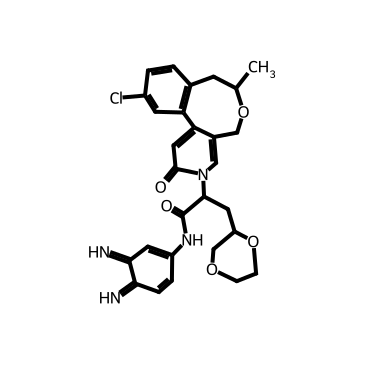 CC1Cc2ccc(Cl)cc2-c2cc(=O)n(C(CC3COCCO3)C(=O)NC3=CC(=N)C(=N)C=C3)cc2CO1